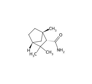 CC1(C)[C@@H]2CC[C@@](C)(C2)[C@@H]1C(N)=O